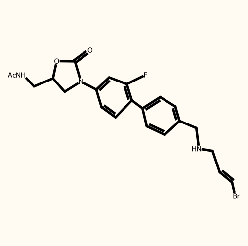 CC(=O)NCC1CN(c2ccc(-c3ccc(CNCC=CBr)cc3)c(F)c2)C(=O)O1